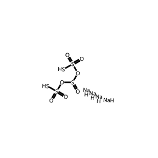 O=S(OS(=O)(=O)S)OS(=O)(=O)S.[NaH].[NaH].[NaH].[NaH]